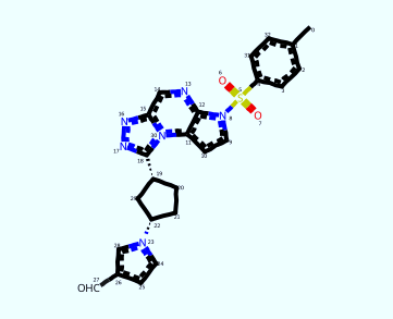 Cc1ccc(S(=O)(=O)n2ccc3c2ncc2nnc([C@@H]4CC[C@H](n5ccc(C=O)c5)C4)n23)cc1